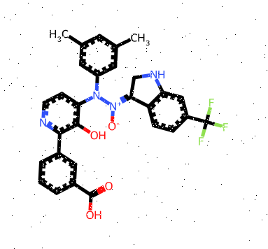 Cc1cc(C)cc(N(c2ccnc(-c3cccc(C(=O)O)c3)c2O)/[N+]([O-])=C2\CNc3cc(C(F)(F)F)ccc32)c1